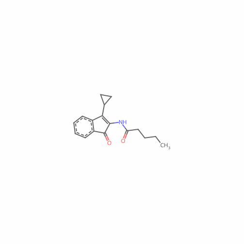 CCCCC(=O)NC1=C(C2CC2)c2ccccc2C1=O